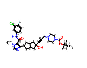 Cn1cnc(C2CC3CC(O)(C#CCN4CCN(C(=O)OC(C)(C)C)CC4)CC3C2)c1C(=O)Nc1ccc(F)c(Cl)c1